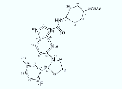 COC1CCC(NC(=O)n2cnc3ccc(N4CCC[C@@H]4c4cc(F)ccc4F)nc32)CC1